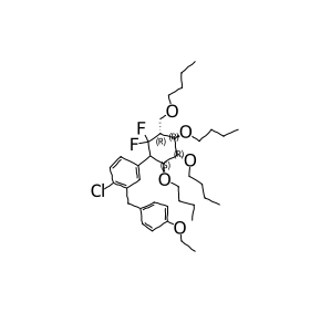 CCCCOC[C@@H]1[C@@H](OCCCC)[C@H](OCCCC)[C@@H](OCCCC)C(c2ccc(Cl)c(Cc3ccc(OCC)cc3)c2)C1(F)F